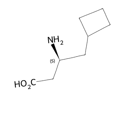 N[C@H](CC(=O)O)CC1CCC1